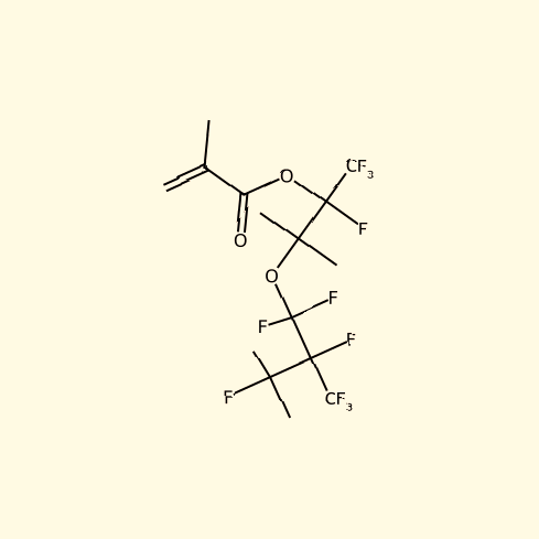 C=C(C)C(=O)OC(F)(C(F)(F)F)C(C)(C)OC(F)(F)C(F)(C(C)(C)F)C(F)(F)F